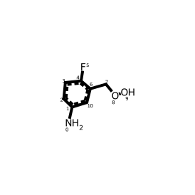 Nc1ccc(F)c(COO)c1